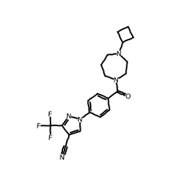 N#Cc1cn(-c2ccc(C(=O)N3CCCN(C4CCC4)CC3)cc2)nc1C(F)(F)F